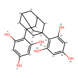 Oc1cc(O)c(C23CC4CC(C2)CC(c2c(O)cc(O)cc2O)(C4)C3)c(O)c1